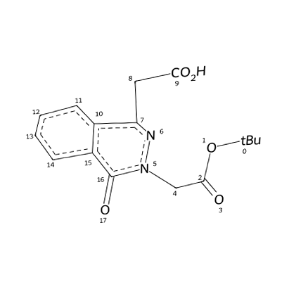 CC(C)(C)OC(=O)Cn1nc(CC(=O)O)c2ccccc2c1=O